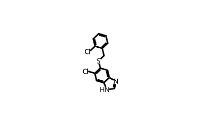 Clc1ccccc1CSc1cc2nc[nH]c2cc1Cl